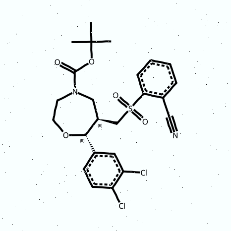 CC(C)(C)OC(=O)N1CCO[C@@H](c2ccc(Cl)c(Cl)c2)[C@H](CS(=O)(=O)c2ccccc2C#N)C1